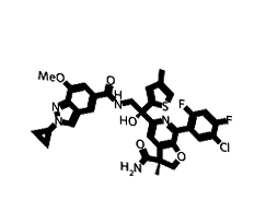 COc1cc(C(=O)NC[C@@](O)(c2cc3c(c(-c4cc(Cl)c(F)cc4F)n2)OC[C@]3(C)C(N)=O)c2cc(C)cs2)cc2cn(C3CC3)nc12